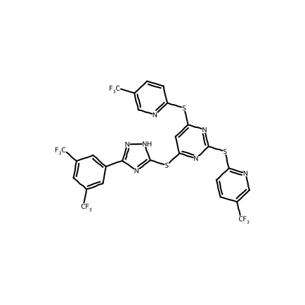 FC(F)(F)c1ccc(Sc2cc(Sc3nc(-c4cc(C(F)(F)F)cc(C(F)(F)F)c4)n[nH]3)nc(Sc3ccc(C(F)(F)F)cn3)n2)nc1